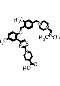 Cc1ccc(OCc2ccc(CN3CCN(CN(C)C)CC3)cc2C)c(-c2csc(N3CCC(C(=O)O)CC3)n2)c1